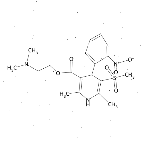 CC1=C(C(=O)OCCN(C)C)C(c2ccccc2[N+](=O)[O-])C(S(C)(=O)=O)=C(C)N1